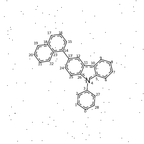 [c]1ccc(-n2c3ccccc3c3cc(-c4cccc5ccccc45)ccc32)cc1